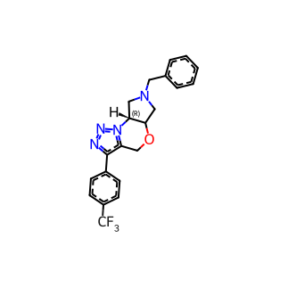 FC(F)(F)c1ccc(-c2nnn3c2COC2CN(Cc4ccccc4)C[C@H]23)cc1